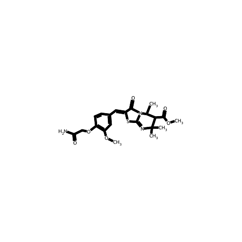 COC(=O)C1C(C)n2c(s/c(=C\c3ccc(OCC(N)=O)c(OC)c3)c2=O)=NC1(C)C